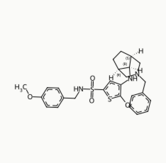 COc1ccc(CNS(=O)(=O)c2cc(N[C@H]3[C@@H]4CC[C@H]3CN(Cc3ccccc3)C4)c(Cl)s2)cc1